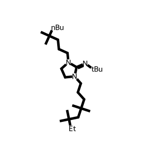 CCCCC(C)(C)CCCN1CCN(CCCC(C)(C)CC(C)(C)CC)C1=NC(C)(C)C